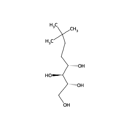 CC(C)(C)CC[C@H](O)[C@H](O)[C@H](O)CO